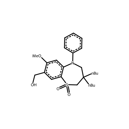 CCCCC1(CCCC)CN(c2ccccc2)c2cc(OC)c(CO)cc2S(=O)(=O)C1